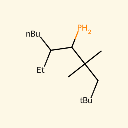 CCCCC(CC)C(P)C(C)(C)CC(C)(C)C